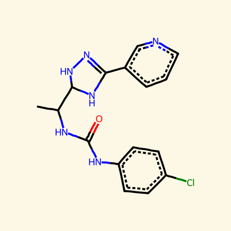 CC(NC(=O)Nc1ccc(Cl)cc1)C1NN=C(c2cccnc2)N1